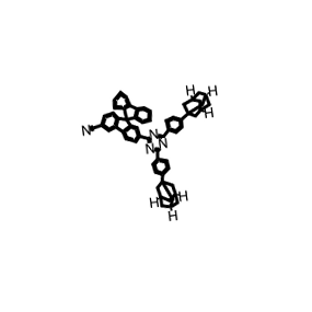 N#Cc1ccc2c(c1)-c1ccc(-c3nc(-c4ccc(C56C[C@H]7C[C@@H](C5)C[C@@H](C6)C7)cc4)nc(-c4ccc(C56C[C@H]7C[C@@H](C5)C[C@@H](C6)C7)cc4)n3)cc1C21c2ccccc2-c2ccccc21